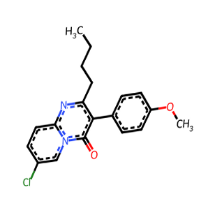 CCCCc1nc2ccc(Cl)cn2c(=O)c1-c1ccc(OC)cc1